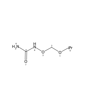 CC(C)OCONC(N)=O